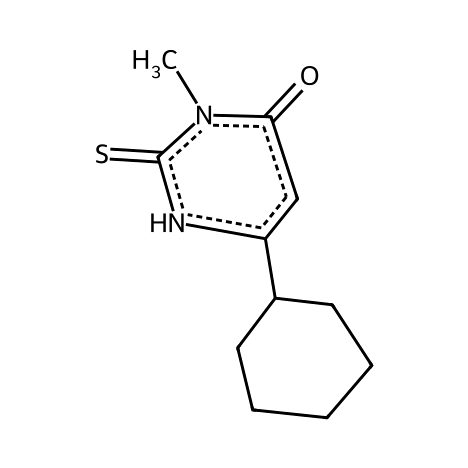 Cn1c(=O)cc(C2CCCCC2)[nH]c1=S